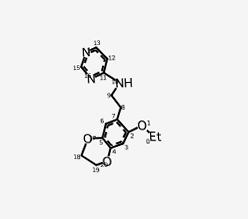 CCOc1cc2c(cc1CCNc1ccncn1)OCCO2